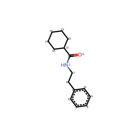 O=C(NCCc1ccccc1)C1CCCCC1